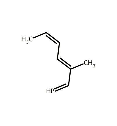 C/C=C\C=C(/C)C=P